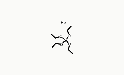 CCO[Si](OCC)(OCC)OCC.[He]